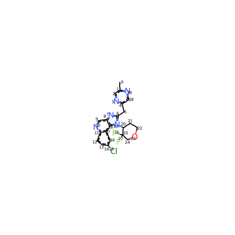 Cc1cnc(Cc2nc3cnc4ccc(Cl)cc4c3n2C2CCOCC2(F)F)cn1